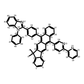 CC1(C)c2ccccc2-c2cc3c(-c4ccc(-c5ccccn5)nc4)c4ccccc4c(-c4ccc(-c5nc6ccccc6n5-c5ccccc5)cc4)c3cc21